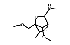 CBC1OC2(COC)C(C)OC1C2OC